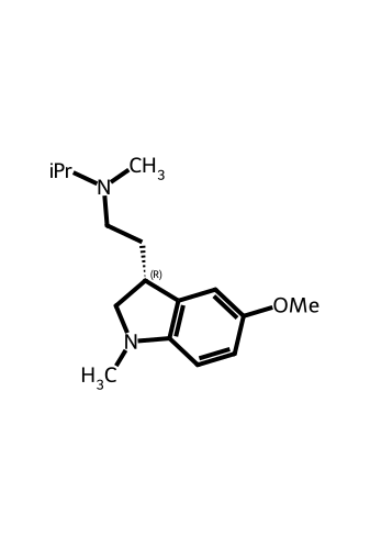 COc1ccc2c(c1)[C@@H](CCN(C)C(C)C)CN2C